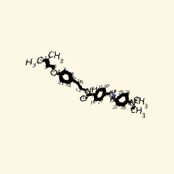 CC(C)=CCOc1ccc(CCNC(=O)c2ccc(/N=N/c3ccc(N(C)C)cc3)cc2)cc1